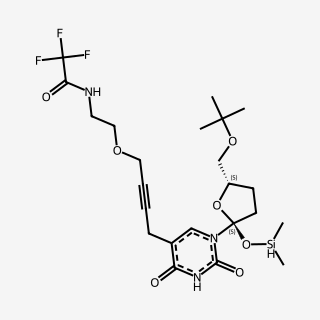 C[SiH](C)O[C@]1(n2cc(CC#CCOCCNC(=O)C(F)(F)F)c(=O)[nH]c2=O)CC[C@@H](COC(C)(C)C)O1